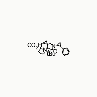 CC(C)(C)OC(=O)N(CC1(CN2CCC[C@H]2C(=O)O)CC1)[C@@H]1C[C@H]1c1ccccc1